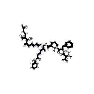 CNC(C(=O)NC(Cc1ccccc1)C(=O)N1CCCC(C(=O)O[C@@H](C/C=C/C=C/CC(C)C(O)C(C=O)CCC(C)=O)/C(C)=C/C=C/C(=O)Nc2ccccn2)N1)C(C)C